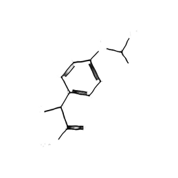 COC(=O)C(c1ccc(OC(F)F)cc1)C(C)C